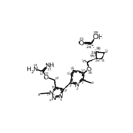 Cc1nc(-c2nnn(C)c2COC(=N)N)ccc1OC[C@@H]1CC[C@H]1C(=O)O